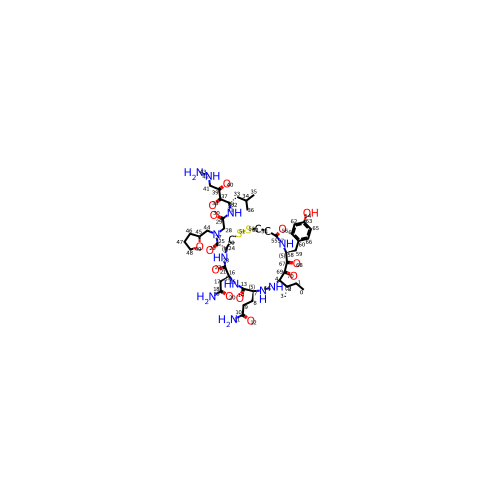 CC[C@H](C)C1NN[C@@H](CCC(N)=O)C(=O)N[C@@H](CC(N)=O)C(=O)N[C@H](C(=O)N(CC(=O)N[C@@H](CC(C)C)C(=O)C(=O)CNN)CC2CCCO2)CSSCCC(=O)N[C@@H](Cc2ccc(O)cc2)C(=O)C1=O